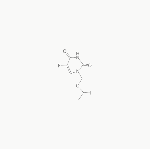 CC(I)OCn1cc(F)c(=O)[nH]c1=O